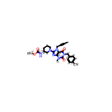 CC#CCn1c(N2CCC[C@@H](NC(=O)OC(C)(C)C)C2)nc2c1c(=O)n(Cc1ccc(C#N)cc1)c(=O)n2C